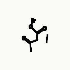 CC.CC(=O)CC(=O)OBr